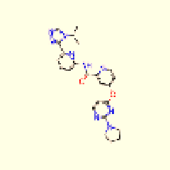 CC(C)n1cnnc1-c1cccc(NC(=O)c2cc(Oc3ccnc(N4CCCC4)n3)ccn2)n1